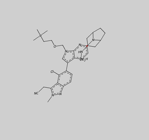 Cn1nc2ccc(-c3cn(COCC[Si](C)(C)C)c4nc(N5C6CCC5CC(NC(=O)O)C6)cnc34)c(Cl)c2c1CC#N